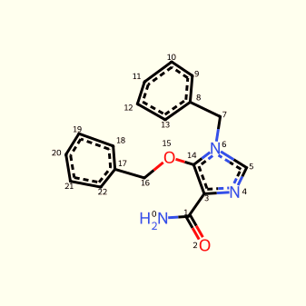 NC(=O)c1ncn(Cc2ccccc2)c1OCc1ccccc1